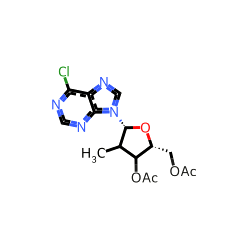 CC(=O)OC[C@H]1O[C@@H](n2cnc3c(Cl)ncnc32)C(C)C1OC(C)=O